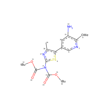 COc1ncc(-c2sc(N(C(=O)OC(C)(C)C)C(=O)OC(C)(C)C)nc2C)cc1N